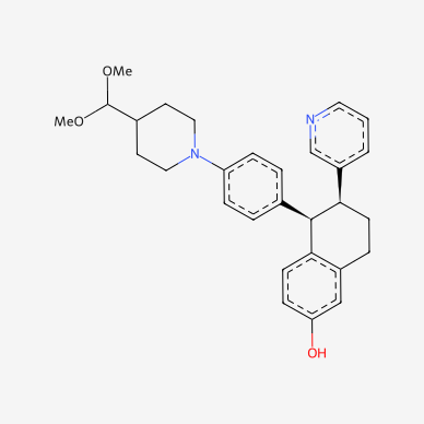 COC(OC)C1CCN(c2ccc([C@@H]3c4ccc(O)cc4CC[C@@H]3c3cccnc3)cc2)CC1